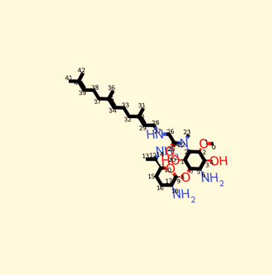 CO[C@H]1[C@@H](O)[C@H](N)C(O[C@H]2O[C@H](C(C)N)CC[C@H]2N)[C@H](O)[C@@H]1N(C)C(=O)CNC/C=C(\C)CC/C=C(\C)CCC=C(C)C